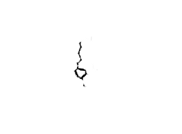 COc1ccc(CCCCCO)c(C)c1